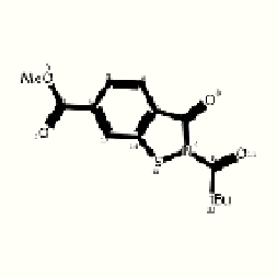 COC(=O)c1ccc2c(=O)n(C(=O)C(C)(C)C)sc2c1